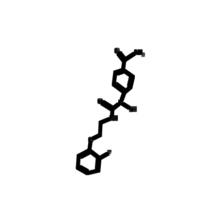 NC(=O)c1ccc(N(S)C(=O)NCCOc2ccccc2F)cc1